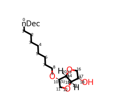 CCCCCCCCCCCCCCCCCCO[C@H]1CO[C@H]2[C@@H]1OC[C@@H]2O